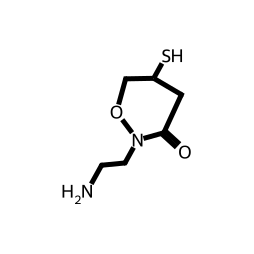 NCCN1OCC(S)CC1=O